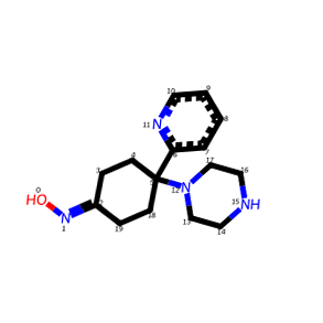 ON=C1CCC(c2ccccn2)(N2CCNCC2)CC1